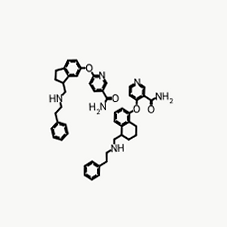 NC(=O)c1ccc(Oc2ccc3c(c2)C(CNCCc2ccccc2)CC3)nc1.NC(=O)c1cnccc1Oc1cccc2c1CCCC2CNCCc1ccccc1